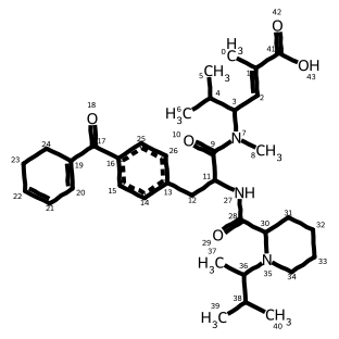 C/C(=C\C(C(C)C)N(C)C(=O)C(Cc1ccc(C(=O)C2=CC=CCC2)cc1)NC(=O)C1CCCCN1C(C)C(C)C)C(=O)O